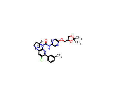 CC1(C)OCC(COc2cnc(NC(=O)N3c4nc(-c5cccc(C(F)(F)F)c5)c(Cl)cc4N4CC[C@H]3C4)cn2)O1